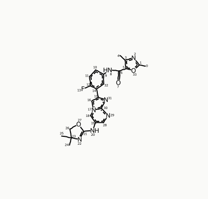 Cc1nc(C)c(C(=O)Nc2ccc(F)c(-c3cn4cc(NC5=NC(C)(C)CO5)cnc4n3)c2)o1